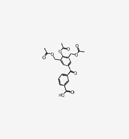 CC(=O)OCc1cc(C(=O)c2cccc(C(=O)O)c2)cc(COC(C)=O)c1OC(C)=O